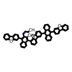 C=C/C=C\c1c(C)c(-c2cccc3c2oc2ccc(-c4c5ccccc5c(-c5ccc6c(c5)oc5ccccc56)c5ccccc45)cc23)c2ccccc2c1-c1ccc2c(c1)oc1ccccc12